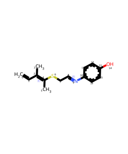 C=C/C(C)=C(\C)SC/C=N/c1ccc(O)cc1